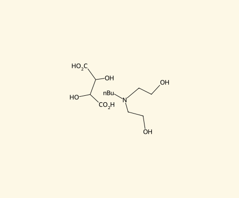 CCCCN(CCO)CCO.O=C(O)C(O)C(O)C(=O)O